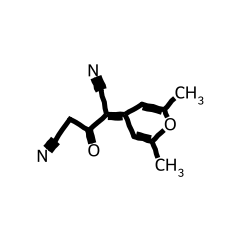 CC1=CC(=C(C#N)C(=O)CC#N)C=C(C)O1